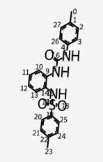 Cc1ccc(NC(=O)Nc2ccccc2NS(=O)(=O)c2ccc(C)cc2)cc1